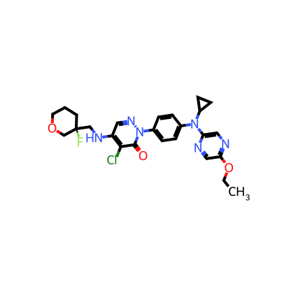 CCOc1cnc(N(c2ccc(-n3ncc(NC[C@@]4(F)CCCOC4)c(Cl)c3=O)cc2)C2CC2)cn1